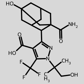 CC(C)(CO)n1nc(C2C3CC4CC(O)(C3)CC2(C(N)=O)C4)c(C(=O)O)c1C(F)(F)F